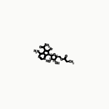 CCC(=O)OC[C@@H]1O[C@H](n2c(Br)c(C(N)=O)c3c(N)ncnc32)[C@@H](O)[C@H]1O